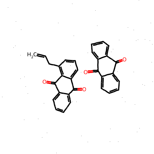 C=CCc1cccc2c1C(=O)c1ccccc1C2=O.O=C1c2ccccc2C(=O)c2ccccc21